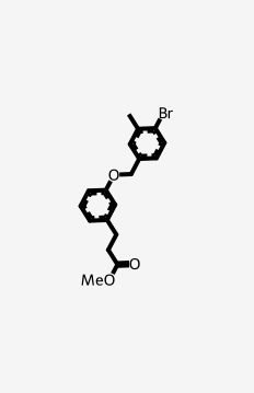 COC(=O)CCc1cccc(OCc2ccc(Br)c(C)c2)c1